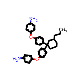 CCCC1CCCC(c2ccc(Oc3ccc(N)cc3)cc2)(c2ccc(Oc3ccc(N)cc3)cc2)C1